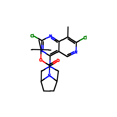 Cc1c(Cl)ncc2c(N3CC4CCC(C3)N4C(=O)OC(C)(C)C)nc(Cl)nc12